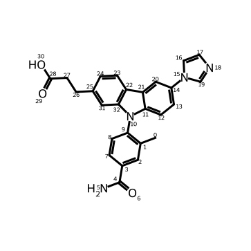 Cc1cc(C(N)=O)ccc1-n1c2ccc(-n3ccnc3)cc2c2ccc(CCC(=O)O)cc21